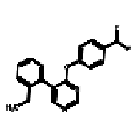 CCc1ccccc1-c1cncnc1Oc1ccc(C(F)F)cc1